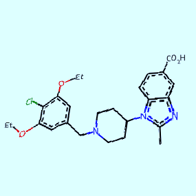 CCOc1cc(CN2CCC(n3c(C)nc4cc(C(=O)O)ccc43)CC2)cc(OCC)c1Cl